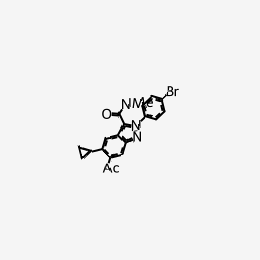 CNC(=O)c1c2cc(C3CC3)c(C(C)=O)cc2nn1-c1ccc(Br)cc1